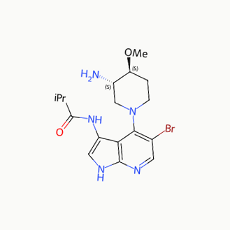 CO[C@H]1CCN(c2c(Br)cnc3[nH]cc(NC(=O)C(C)C)c23)C[C@@H]1N